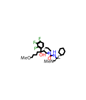 CNC[C@H](CC1CCCCC1)NC(=O)N1CCC[C@@H]([C@@](O)(CCCCOC)c2ccc(F)c(F)c2F)C1